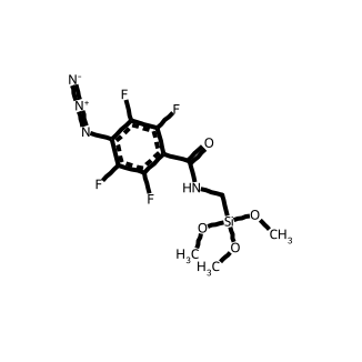 CO[Si](CNC(=O)c1c(F)c(F)c(N=[N+]=[N-])c(F)c1F)(OC)OC